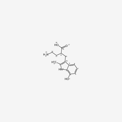 Cc1[nH]c2c(O)cccc2c1CC(CCN)C(=O)O